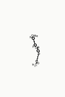 C=CC(=O)OCCCCCCOc1ccc(C(=O)Oc2ccc(C#Cc3ccc(OC)c(F)c3)cc2F)cc1